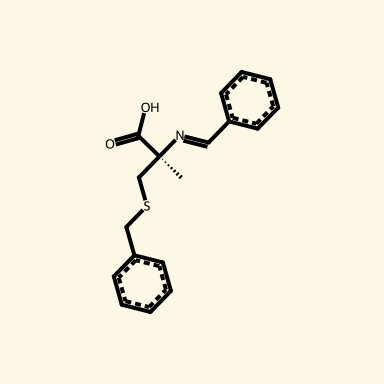 C[C@@](CSCc1ccccc1)(N=Cc1ccccc1)C(=O)O